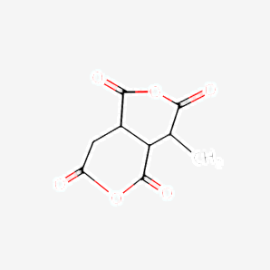 CC1C(=O)OC(=O)C2CC(=O)OC(=O)C12